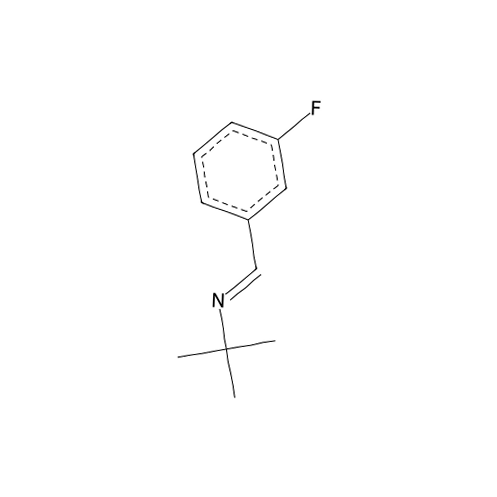 CC(C)(C)/N=C/c1cccc(F)c1